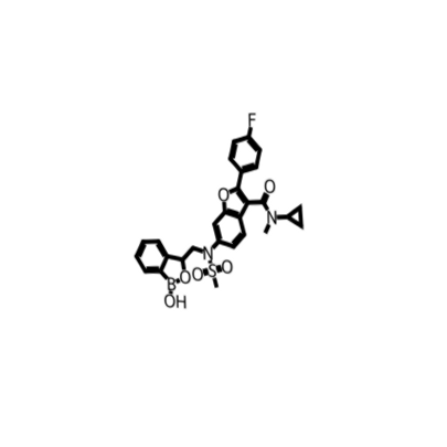 CN(C(=O)c1c(-c2ccc(F)cc2)oc2cc(N(CC3OB(O)c4ccccc43)S(C)(=O)=O)ccc12)C1CC1